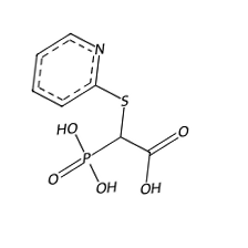 O=C(O)C(Sc1ccccn1)P(=O)(O)O